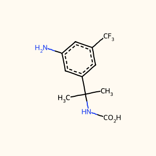 CC(C)(NC(=O)O)c1cc(N)cc(C(F)(F)F)c1